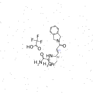 CC(C)C[C@@H](/C=C/C(=O)N1Cc2ccccc2C1)N[C@@H](C)C(N)=O.O=C(O)C(F)(F)F